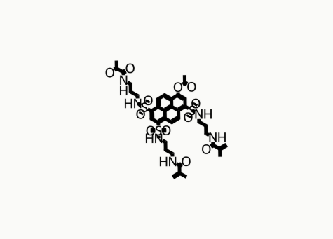 C=C(C)C(=O)NCCCNS(=O)(=O)c1cc(OC(C)=O)c2ccc3c(S(=O)(=O)NCCCNC(=O)C(C)=O)cc(S(=O)(=O)NCCCNC(=O)C(=C)C)c4ccc1c2c43